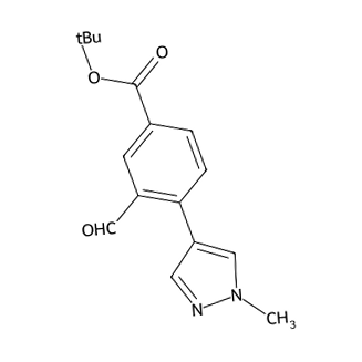 Cn1cc(-c2ccc(C(=O)OC(C)(C)C)cc2C=O)cn1